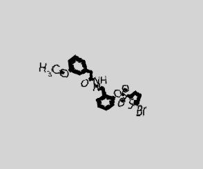 COc1cccc(CC(=O)N/N=C/c2ccccc2OS(=O)(=O)c2ccc(Br)s2)c1